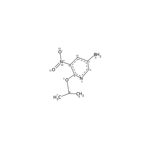 Bc1cnc(OC(C)C)c([N+](=O)[O-])c1